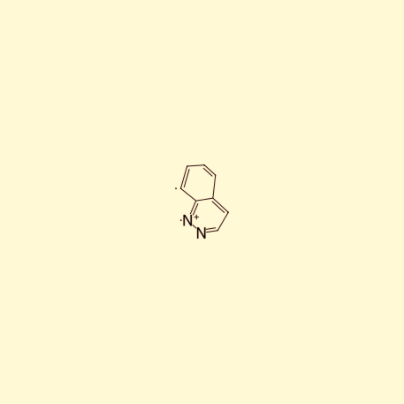 [c]1cccc2c1=[N+]N=CC=2